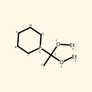 CCOC(C)(OCC)P1CCCCC1